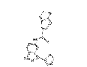 O=C(Nc1ccc2[nH]nc(-c3ccoc3)c2c1)c1ccc2ncsc2c1